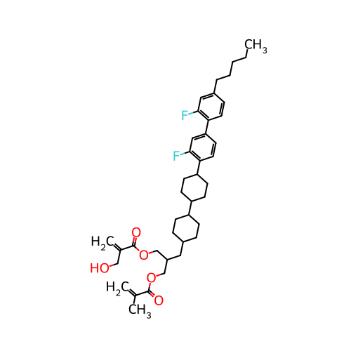 C=C(C)C(=O)OCC(COC(=O)C(=C)CO)CC1CCC(C2CCC(c3ccc(-c4ccc(CCCCC)cc4F)cc3F)CC2)CC1